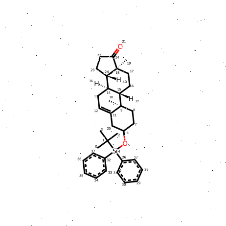 CC(C)(C)[Si](OC1CC[C@@]2(C)C(=CC[C@@H]3[C@@H]2CC[C@]2(C)C(=O)CC[C@@H]32)C1)(c1ccccc1)c1ccccc1